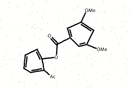 COc1cc(OC)cc(C(=O)Oc2ccccc2C(C)=O)c1